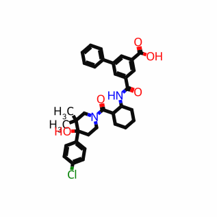 CC1(C)CN(C(=O)C2CCCCC2NC(=O)c2cc(C(=O)O)cc(-c3ccccc3)c2)CCC1(O)c1ccc(Cl)cc1